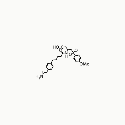 COc1ccc(S(=O)(=O)CC(CC(=O)O)NC(=O)CCCCc2ccc(C=NN)cc2)cc1